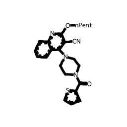 CCCCCOc1nc2ccccc2c(N2CCN(C(=O)c3cccs3)CC2)c1C#N